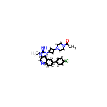 CC(=O)N1CCN(C2CC(n3c(=N)n(C)c4cnc5ccc(-c6ccc(Cl)cc6)cc5c43)C2)CC1